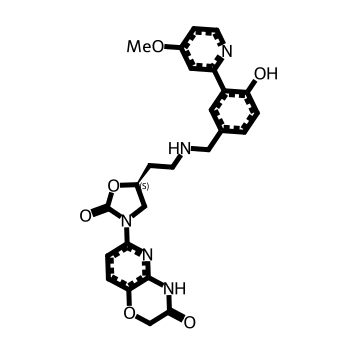 COc1ccnc(-c2cc(CNCC[C@H]3CN(c4ccc5c(n4)NC(=O)CO5)C(=O)O3)ccc2O)c1